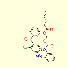 CCCCCC(=O)OCOC(=O)Nc1ccccc1Nc1ccc(C(=O)c2ccccc2C)c(Cl)c1